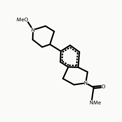 CNC(=O)N1CCc2cc(C3CCN(OC)CC3)ccc2C1